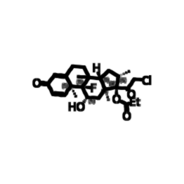 CCC(=O)O[C@]1(C(=O)CCl)[C@@H](C)C[C@H]2C3(C)CCC4=CC(=O)C=C[C@]4(C)[C@@]3(F)[C@@H](O)C[C@@]21C